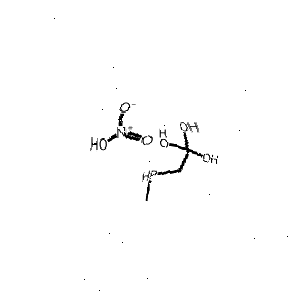 CPCC(O)(O)O.O=[N+]([O-])O